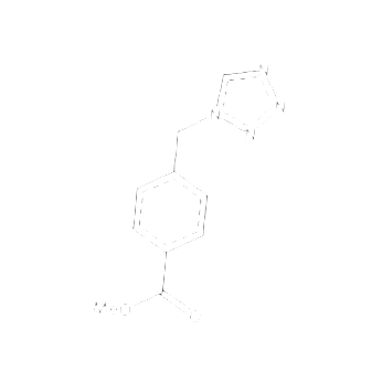 COC(=O)c1ccc(Cn2cnnn2)cc1